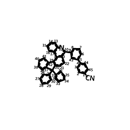 N#Cc1ccc(-c2cccc(-c3nc4ccccc4c4c5c(ccc34)C(c3ccccc3)(c3ccccc3)c3ccccc3-5)c2)cc1